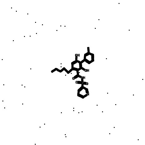 CCCCCc1cc(O)c(-c2cccc(C)c2)c(O)c1C(=O)NS(=O)(=O)c1cccnc1